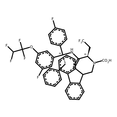 O=C(N[C@](Cc1ccccc1)(c1ccc(F)cc1)c1cc(F)cc(OC(F)(F)C(F)F)c1)[C@@H](CC(F)(F)F)N(CC1c2ccccc2-c2ccccc21)C(=O)O